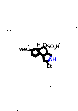 CCC1CC2c3ccc(OC)cc3CCC2CN1.CS(=O)(=O)O